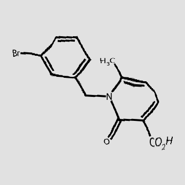 Cc1ccc(C(=O)O)c(=O)n1Cc1cccc(Br)c1